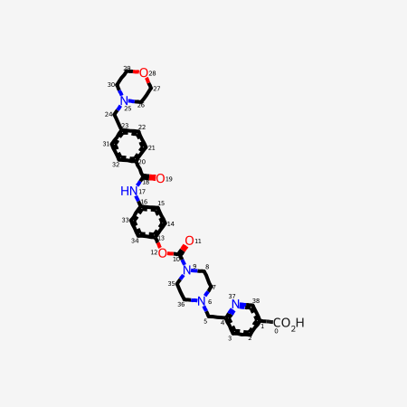 O=C(O)c1ccc(CN2CCN(C(=O)Oc3ccc(NC(=O)c4ccc(CN5CCOCC5)cc4)cc3)CC2)nc1